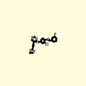 Fc1cccc(COc2ccc(Nc3ncncc3C#Cc3nccs3)cc2Cl)c1